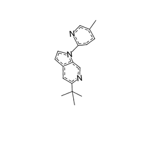 Cc1ccc(-n2ccc3cc(C(C)(C)C)ncc32)nc1